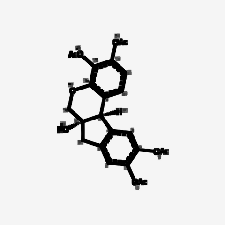 CC(=O)Oc1cc2c(cc1OC(C)=O)[C@@H]1c3ccc(OC(C)=O)c(OC(C)=O)c3OC[C@]1(O)C2